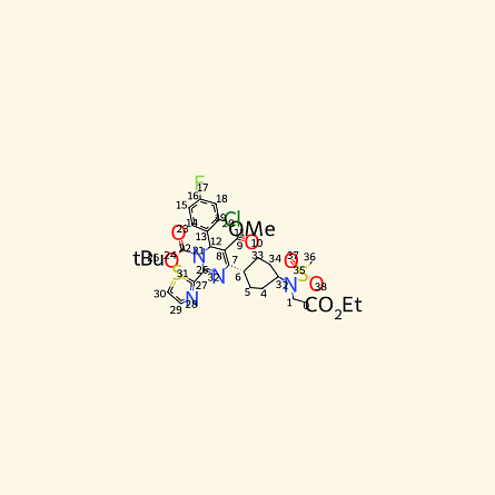 CCOC(=O)CN([C@H]1CC[C@H](C2=C(C(=O)OC)C(c3ccc(F)cc3Cl)N(C(=O)OC(C)(C)C)C(c3nccs3)=N2)CC1)S(C)(=O)=O